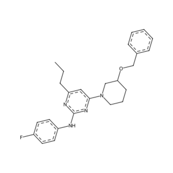 CCCc1cc(N2CCCC(OCc3ccccc3)C2)nc(Nc2ccc(F)cc2)n1